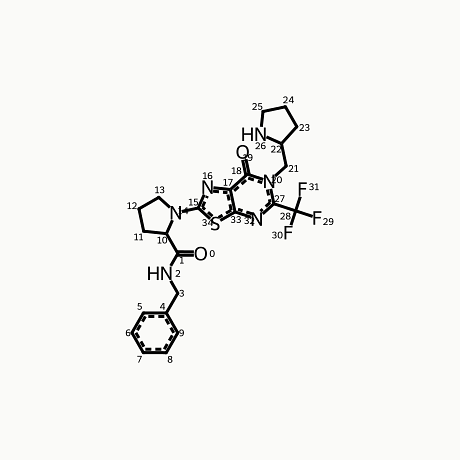 O=C(NCc1ccccc1)C1CCCN1c1nc2c(=O)n(CC3CCCN3)c(C(F)(F)F)nc2s1